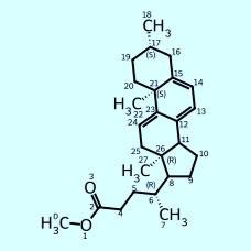 COC(=O)CC[C@@H](C)C1CCC2C3=CC=C4C[C@@H](C)CC[C@]4(C)C3=CC[C@@]21C